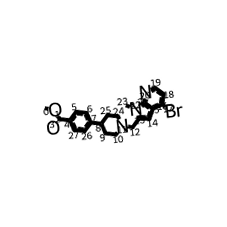 COC(=O)c1ccc(C2CCN(Cc3cc4c(Br)ccnc4n3C)CC2)cc1